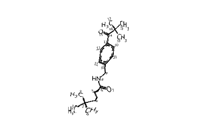 CC(C)(C)CCC(=O)NCc1ccc(C(=O)C(C)(C)C)cc1